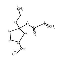 C=CC(=O)OC1(CCC)CCC(OC)C1